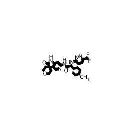 C[C@H]1CC[C@H]([C@H](Nc2ccc(C(F)F)nn2)C(=O)Nc2cc3c(cn2)C2(CCOCC2)C(=O)N3)CC1